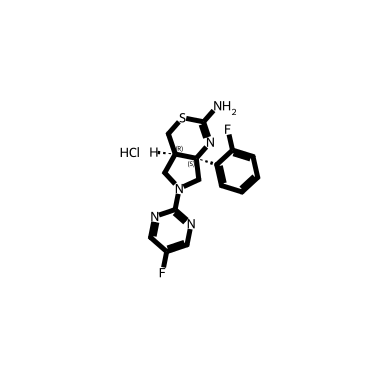 Cl.NC1=N[C@@]2(c3ccccc3F)CN(c3ncc(F)cn3)C[C@H]2CS1